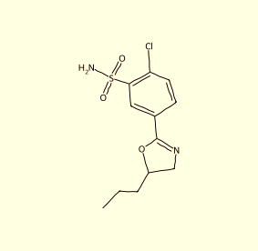 CCCC1CN=C(c2ccc(Cl)c(S(N)(=O)=O)c2)O1